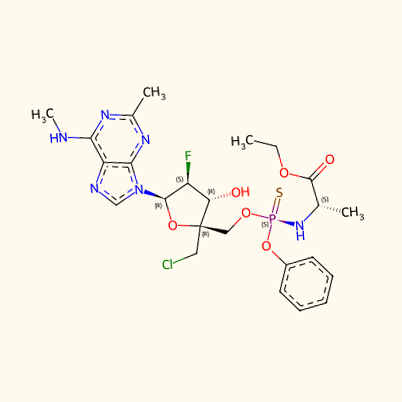 CCOC(=O)[C@H](C)N[P@](=S)(OC[C@@]1(CCl)O[C@@H](n2cnc3c(NC)nc(C)nc32)[C@@H](F)[C@@H]1O)Oc1ccccc1